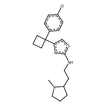 CN1CCCC1CCNc1nc(C2(c3ccc(Cl)cc3)CCC2)cs1